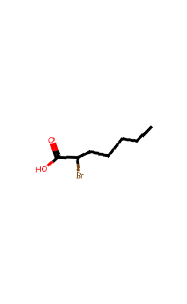 CCCCCC(Br)C(=O)O